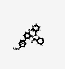 COC1CC2CCC1CN2c1ccc2c(c1)N(C(=O)C1CCCCC1)Cc1cccnc1N2